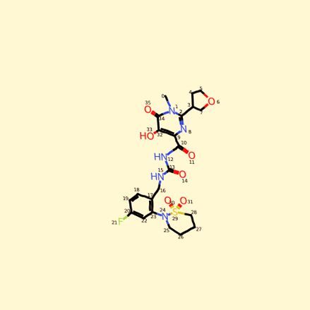 Cn1c(C2CCOC2)nc(C(=O)NC(=O)NCc2ccc(F)cc2N2CCCCS2(=O)=O)c(O)c1=O